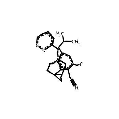 CC(C)Cc1cc(F)c(C#N)c(C23CCN(Cc4cccnn4)CC2C3)c1